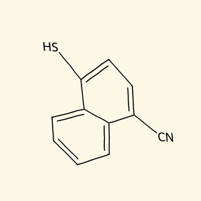 N#Cc1ccc(S)c2ccccc12